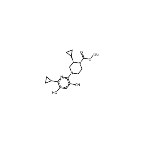 CC(C)(C)OC(=O)N1CCN(c2nc(C3CC3)c(O)cc2C#N)C[C@H]1C1CC1